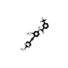 Cc1cc(NC(=O)c2cccc(C(F)(F)F)c2)ccc1C#Cc1cnc(N)nc1